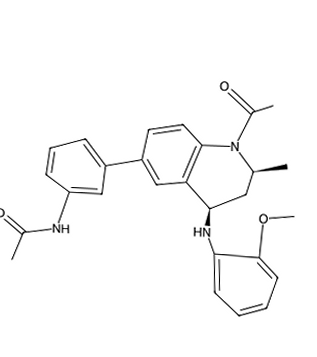 COc1ccccc1N[C@@H]1C[C@H](C)N(C(C)=O)c2ccc(-c3cccc(NC(C)=O)c3)cc21